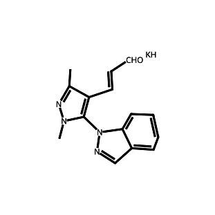 Cc1nn(C)c(-n2ncc3ccccc32)c1/C=C/C=O.[KH]